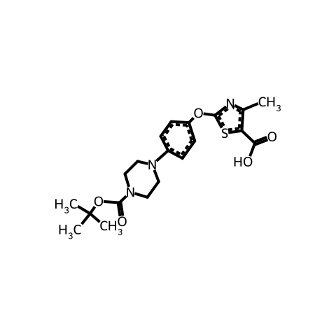 Cc1nc(Oc2ccc(N3CCN(C(=O)OC(C)(C)C)CC3)cc2)sc1C(=O)O